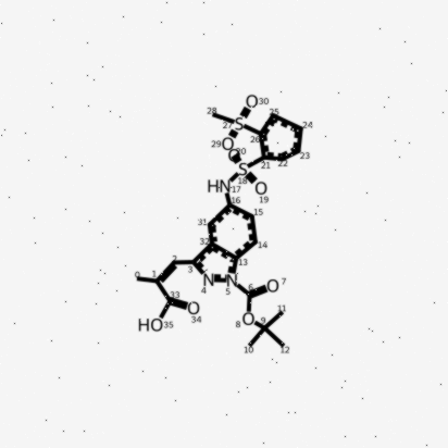 CC(=Cc1nn(C(=O)OC(C)(C)C)c2ccc(NS(=O)(=O)c3ccccc3S(C)(=O)=O)cc12)C(=O)O